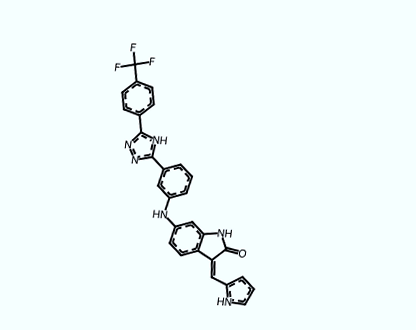 O=C1Nc2cc(Nc3cccc(-c4nnc(-c5ccc(C(F)(F)F)cc5)[nH]4)c3)ccc2/C1=C/c1ccc[nH]1